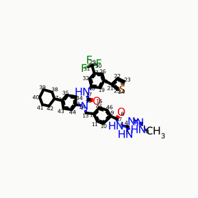 CN/N=N\C(=N)NC(=O)c1ccc(CN(C(=O)Nc2cc(-c3ccsc3)cc(C(F)(F)F)c2)c2ccc(C3CCCCC3)cc2)cc1